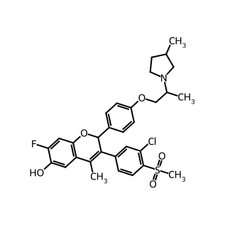 CC1=C(c2ccc(S(C)(=O)=O)c(Cl)c2)C(c2ccc(OCC(C)N3CCC(C)C3)cc2)Oc2cc(F)c(O)cc21